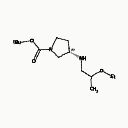 CCOC(C)CN[C@H]1CCN(C(=O)OC(C)(C)C)C1